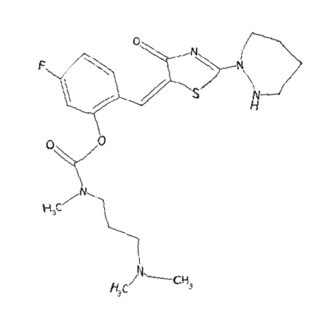 CN(C)CCCN(C)C(=O)Oc1cc(F)ccc1/C=C1/SC(N2CCCCN2)=NC1=O